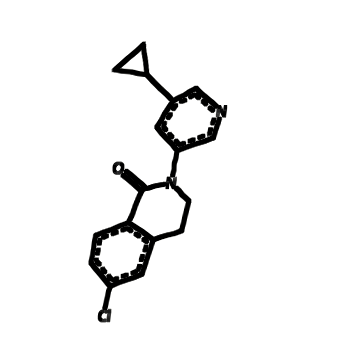 O=C1c2ccc(Cl)cc2CCN1c1cncc(C2CC2)c1